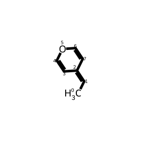 CC=C1C=COC=C1